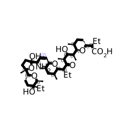 CC[C@@H](C(=O)[C@@H](C)[C@@H](O)[C@H](C)[C@@H]1O[C@@H]([C@@H](CC)C(=O)O)CC[C@@H]1C)[C@H]1O[C@H](/C=C\[C@@H](N)[C@@]2(O)CC[C@@](C)([C@H]3CC[C@](O)(CC)[C@H](C)O3)O2)[C@H](C)C[C@@H]1C